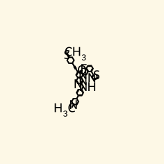 CSC1CCC(C#Cc2cc3cnc(Nc4ccc(C5CCN(C)CC5)cc4)nc3n(Cc3c(F)cccc3-c3nccs3)c2=O)CC1